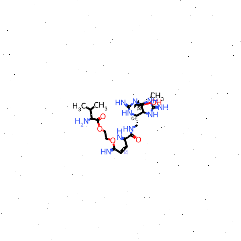 CC(C)C(N)C(=O)OCCOC(=N)/C=C\C(=N)C(=O)NC[C@@H]1NC(=N)N2CC[C@](C)(O)C23NC(=N)NC13